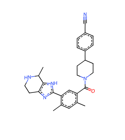 Cc1cc(C)c(-c2nc3c([nH]2)C(C)NCC3)cc1C(=O)N1CCC(c2ccc(C#N)cc2)CC1